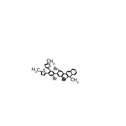 Cc1ccc(-c2cc(Br)c(-c3cc(Br)c(C4=C(Br)C(C)C5C=CC=CC5=C4)cc3Br)cc2-c2ccc(C)s2)s1